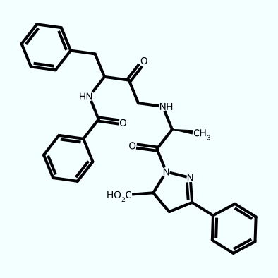 C[C@H](NCC(=O)C(Cc1ccccc1)NC(=O)c1ccccc1)C(=O)N1N=C(c2ccccc2)CC1C(=O)O